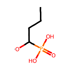 CCCC([O])P(=O)(O)O